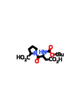 CC(C)(C)OC(=O)NC(CC(=O)O)C(=O)N1CCCC1C(=O)O